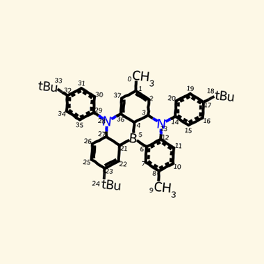 CC1=CC2C3B(c4cc(C)ccc4N2c2ccc(C(C)(C)C)cc2)C2C=C(C(C)(C)C)C=CC2N(c2ccc(C(C)(C)C)cc2)C3=C1